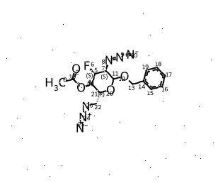 CC(=O)O[C@H]1[C@@H](F)[C@@H](N=[N+]=[N-])C(OCc2ccccc2)O[C@@H]1CN=[N+]=[N-]